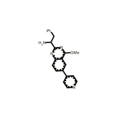 COc1nc(C(N)CC(C)C)nc2ccc(-c3ccncc3)cc12